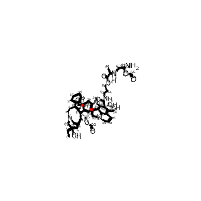 CCC1(O)CC2C[N@](CCc3c([nH]c4ccccc34)[C@@](COC=O)(c3cc4c(cc3CO)N(C)C3C45CCN4CC=C[C@](CC)(C45)[C@@H](O)[C@]3(O)C(=O)NCCCOC(=O)C(C)NCC(N)OC=O)C2)C1